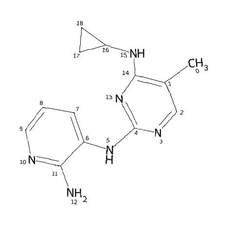 Cc1cnc(Nc2cccnc2N)nc1NC1CC1